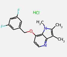 Cc1c(C)n(C)c2c(OCc3cc(F)cc(F)c3)ccnc12.Cl